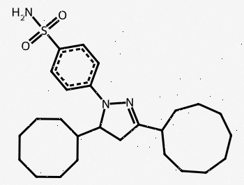 NS(=O)(=O)c1ccc(N2N=C(C3CCCCCCCC3)CC2C2CCCCCCC2)cc1